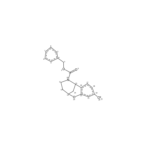 O=C(OCc1ccccc1)N1CCC2CC1c1ccc(C(F)(F)F)cc1O2